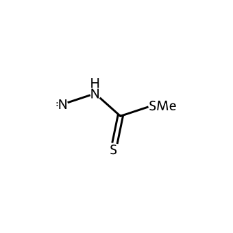 CSC(=S)N[N]